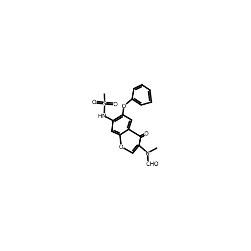 CN(C=O)c1coc2cc(NS(C)(=O)=O)c(Oc3ccccc3)cc2c1=O